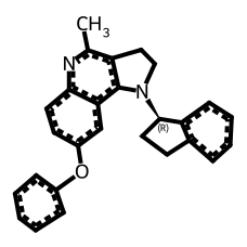 Cc1nc2ccc(Oc3ccccc3)cc2c2c1CCN2[C@@H]1CCc2ccccc21